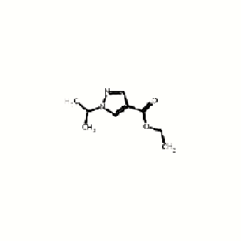 CCOC(=O)c1cnn(C(C)C)c1